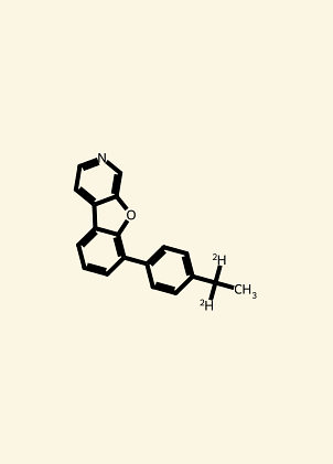 [2H]C([2H])(C)c1ccc(-c2cccc3c2oc2cnccc23)cc1